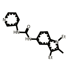 CCc1c(C)n(CC)c2ccc(NC(=O)Nc3cccnc3)cc12